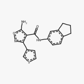 Nc1onc(-c2ccsc2)c1C(=O)Nc1ccc2c(c1)CCC2